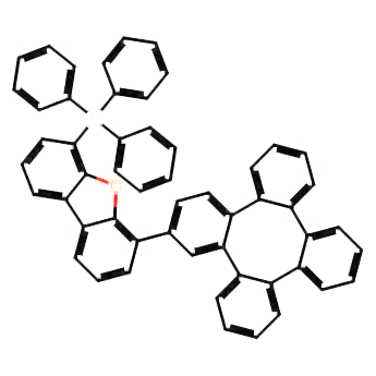 c1ccc([Si](c2ccccc2)(c2ccccc2)c2cccc3c2oc2c(-c4ccc5c(c4)-c4ccccc4-c4ccccc4-c4ccccc4-5)cccc23)cc1